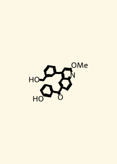 COc1cc(-c2cccc(CO)c2)c2cc(C(=O)c3cccc(O)c3)ccc2n1